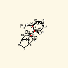 CC(C)(C)OC(=O)N1CC2CCC(C1)N2S(=O)(=O)c1ccccc1C(F)(F)F